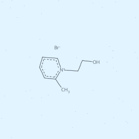 Cc1cccc[n+]1CCO.[Br-]